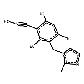 CCc1cc(CC)c(Cn2ccnc2C)c(CC)c1C#[N+]O